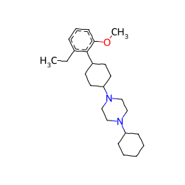 CCc1cccc(OC)c1C1CCC(N2CCN(C3CCCCC3)CC2)CC1